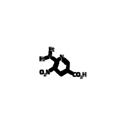 CCN(CC)c1ncc(C(=O)O)cc1[N+](=O)[O-]